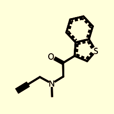 C#CCN(C)CC(=O)c1csc2ccccc12